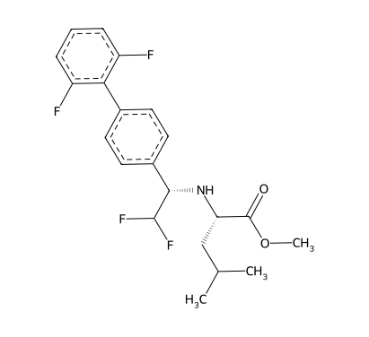 COC(=O)[C@H](CC(C)C)N[C@@H](c1ccc(-c2c(F)cccc2F)cc1)C(F)F